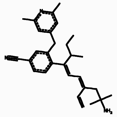 C=C/C(=C\C=C(\c1ccc(C#N)cc1Cc1cc(C)nc(C)c1)C(C)CC)CC(C)(C)N